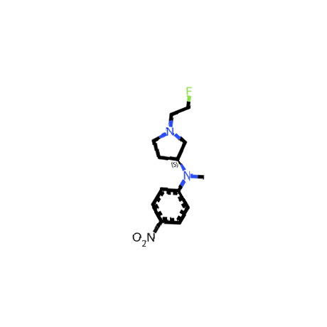 CN(c1ccc([N+](=O)[O-])cc1)[C@H]1CCN(CCF)C1